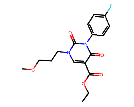 CCOC(=O)c1cn(CCCOC)c(=O)n(-c2ccc(F)cc2)c1=O